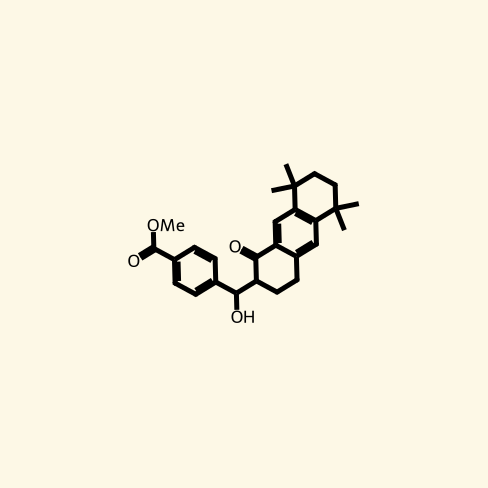 COC(=O)c1ccc(C(O)C2CCc3cc4c(cc3C2=O)C(C)(C)CCC4(C)C)cc1